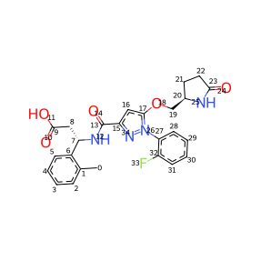 Cc1ccccc1[C@H](CC(=O)O)NC(=O)c1cc(OC[C@H]2CCC(=O)N2)n(-c2ccccc2F)n1